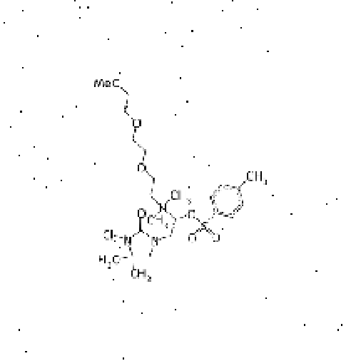 COCCOCCOCC[N+](C)(C)C(CN1CC(C)(C)N(Cl)C1=O)OS(=O)(=O)c1ccc(C)cc1